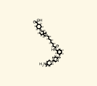 CC1(N)CCN(c2cnc(Sc3cccc(NC(=O)CCCCCCN4CC5(CCN(C6CCC(C(=O)O)CC6)C5)C4)c3)cn2)CC1